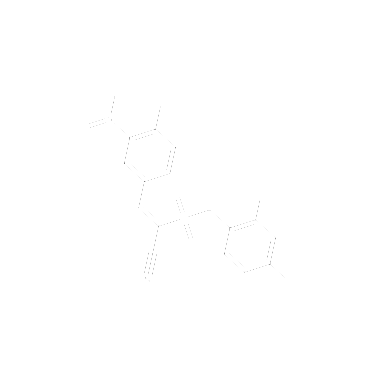 N#C/C(=C/c1ccc(O)c([N+](=O)[O-])c1)S(=O)(=O)Cc1ccc(Cl)cc1Cl